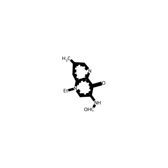 CCn1cc(NC=O)c(=O)c2ncc(C)cc21